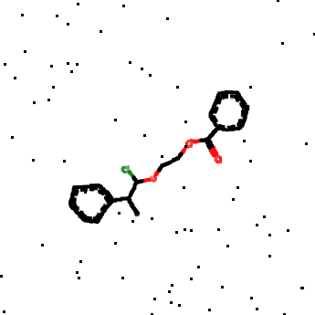 CC(c1ccccc1)C(Cl)OCCOC(=O)c1ccccc1